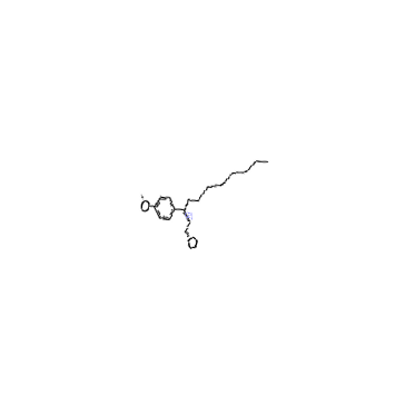 CCCCCCCC/C(=C/C=O)c1ccc(OC)cc1